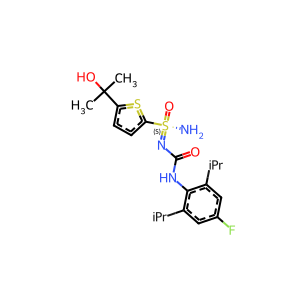 CC(C)c1cc(F)cc(C(C)C)c1NC(=O)N=[S@](N)(=O)c1ccc(C(C)(C)O)s1